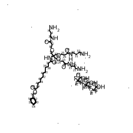 NCCCNC(=O)CCOCC(COCCC(=O)NCCCN)(COCCC(=O)NCCCN)NC(=O)CCCCCCCCCCC(=O)OCc1ccccc1.O=C(O)C(F)(F)F.O=C(O)C(F)(F)F.O=C(O)C(F)(F)F